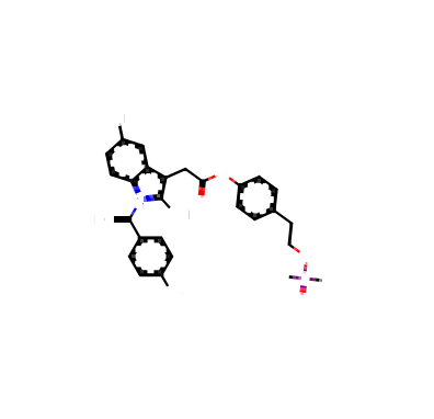 C=C(c1ccc(C)cc1)n1c(C)c(CC(=O)Oc2ccc(CCOP(C)(C)=O)cc2)c2cc(C)ccc21